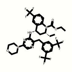 CCOC(=O)N1c2ccc(C(F)(F)F)cc2[C@@H](Nc2nc(N3CCOCC3)cnc2Cc2cc(C(F)(F)F)cc(C(F)(F)F)c2)C[C@H]1CC